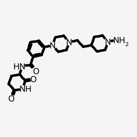 NN1CCC(CCN2CCN(c3cccc(C(=O)NC4CCC(=O)NC4=O)c3)CC2)CC1